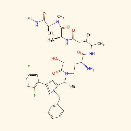 CCC(CC(=O)N[C@@H](C)C(=O)N(C)[C@@H](C)C(=O)NC(C)C)C(C)NC(=O)[C@@H](N)CCN(C(=O)CO)[C@@H](c1cc(-c2cc(F)ccc2F)cn1Cc1ccccc1)C(C)(C)C